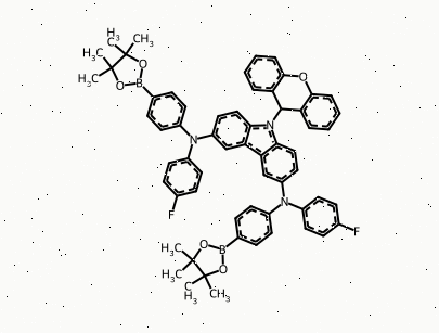 CC1(C)OB(c2ccc(N(c3ccc(F)cc3)c3ccc4c(c3)c3cc(N(c5ccc(F)cc5)c5ccc(B6OC(C)(C)C(C)(C)O6)cc5)ccc3n4C3c4ccccc4Oc4ccccc43)cc2)OC1(C)C